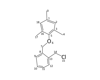 Cc1cc(C)c(OCc2ccccc2CCl)c(C)c1